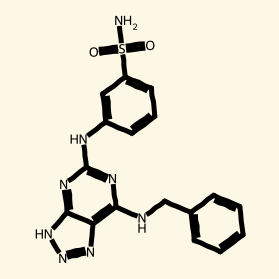 NS(=O)(=O)c1cccc(Nc2nc(NCc3ccccc3)c3nn[nH]c3n2)c1